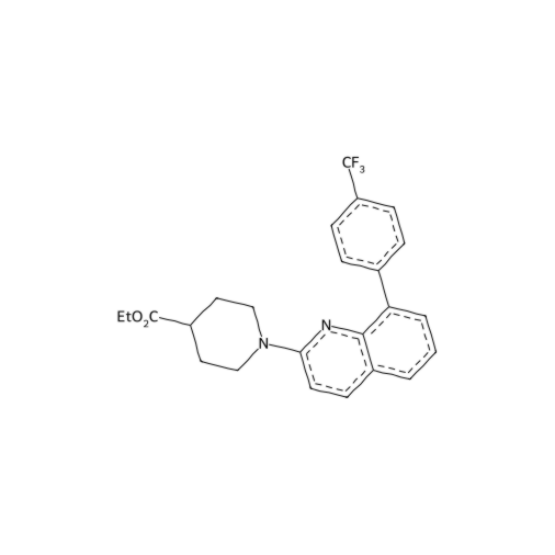 CCOC(=O)C1CCN(c2ccc3cccc(-c4ccc(C(F)(F)F)cc4)c3n2)CC1